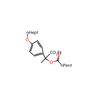 CCCCCCCOc1ccc(C(C)(OC(=O)CCCCC)C(=O)OCC)cc1